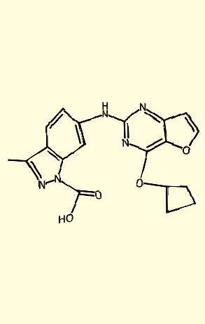 Cc1nn(C(=O)O)c2cc(Nc3nc(OC4CCC4)c4occc4n3)ccc12